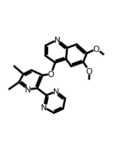 COc1cc2nccc(Oc3cc(C)c(C)nc3-c3ncccn3)c2cc1OC